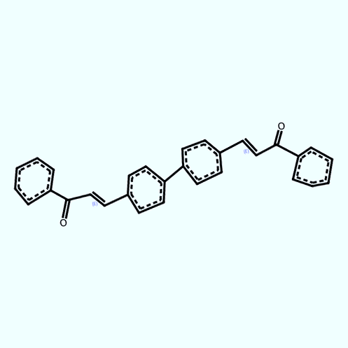 O=C(/C=C/c1ccc(-c2ccc(/C=C/C(=O)c3ccccc3)cc2)cc1)c1ccccc1